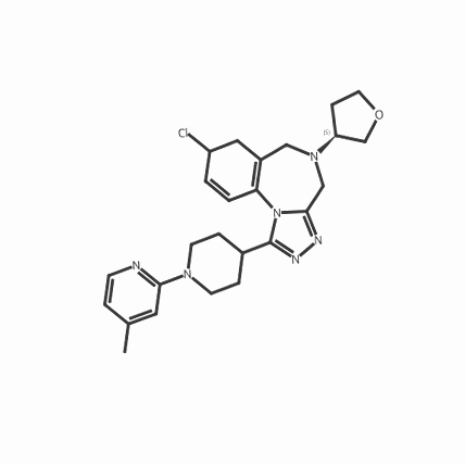 Cc1ccnc(N2CCC(c3nnc4n3C3=C(CC(Cl)C=C3)CN([C@H]3CCOC3)C4)CC2)c1